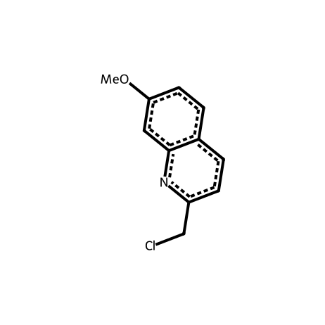 COc1ccc2ccc(CCl)nc2c1